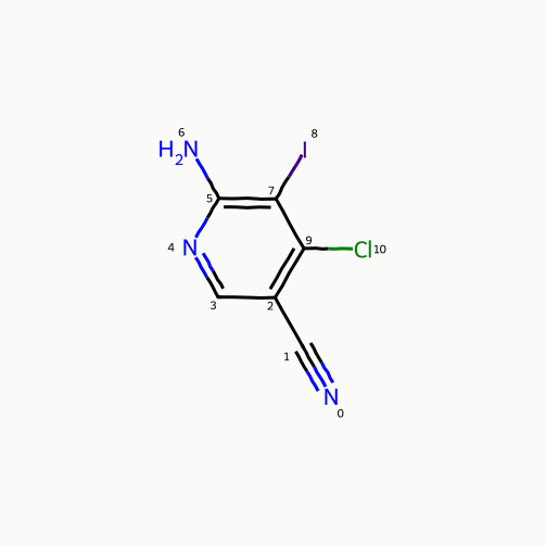 N#Cc1cnc(N)c(I)c1Cl